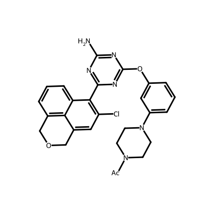 CC(=O)N1CCN(c2cccc(Oc3nc(N)nc(-c4c(Cl)cc5c6c(cccc46)COC5)n3)c2)CC1